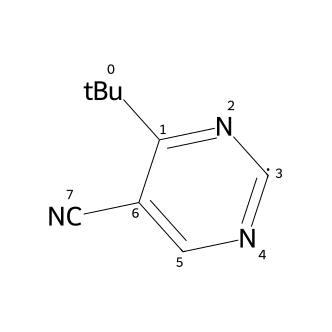 CC(C)(C)c1n[c]ncc1C#N